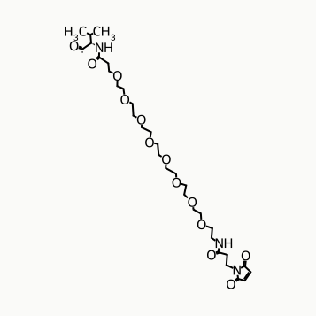 CC(C)[C@@H]([C]=O)NC(=O)CCOCCOCCOCCOCCOCCOCCOCCOCCNC(=O)CCN1C(=O)C=CC1=O